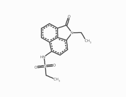 CCN1C(=O)c2cccc3c(NS(=O)(=O)CC)ccc1c23